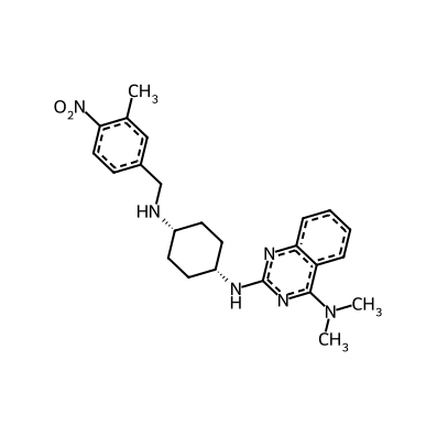 Cc1cc(CN[C@H]2CC[C@@H](Nc3nc(N(C)C)c4ccccc4n3)CC2)ccc1[N+](=O)[O-]